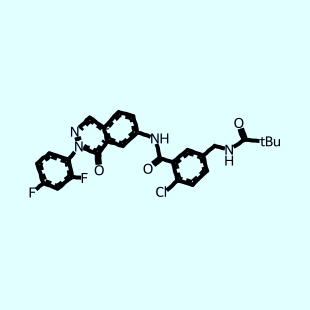 CC(C)(C)C(=O)NCc1ccc(Cl)c(C(=O)Nc2ccc3cnn(-c4ccc(F)cc4F)c(=O)c3c2)c1